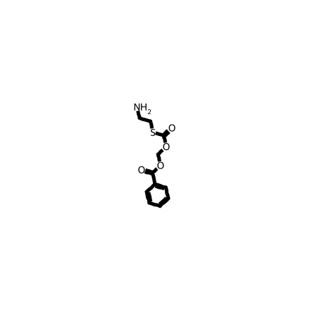 NCCSC(=O)OCOC(=O)c1ccccc1